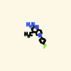 Cc1cc(N)nc2c1CN(c1ccc(F)cc1)C=C2